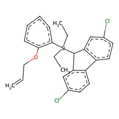 C=CCOc1ccccc1[Si](CC)(CC)C1c2cc(Cl)ccc2-c2ccc(Cl)cc21